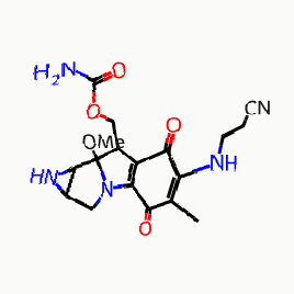 COC12C(COC(N)=O)C3=C(C(=O)C(C)=C(NCCC#N)C3=O)N1CC1NC12